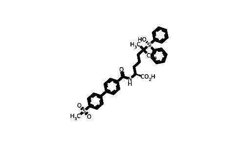 CC(C)(CCC[C@H](NC(=O)c1ccc(-c2ccc(S(C)(=O)=O)cc2)cc1)C(=O)O)[Si](O)(c1ccccc1)c1ccccc1